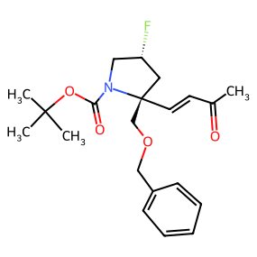 CC(=O)/C=C/[C@@]1(COCc2ccccc2)C[C@@H](F)CN1C(=O)OC(C)(C)C